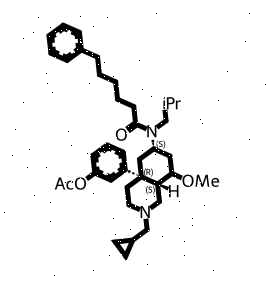 COC1C[C@@H](N(CC(C)C)C(=O)CCCCCc2ccccc2)C[C@]2(c3cccc(OC(C)=O)c3)CCN(CC3CC3)C[C@@H]12